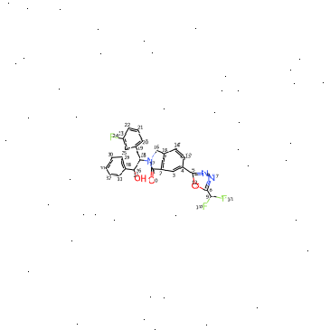 O=C1c2cc(-c3nnc(C(F)F)o3)ccc2CN1C(c1cccc(F)c1)C(O)c1ccccc1